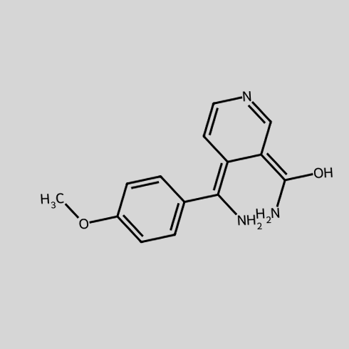 COc1ccc(/C(N)=c2\ccnc\c2=C(\N)O)cc1